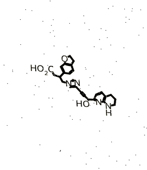 O=C(O)CC(Cn1cnc(C#CC(O)c2ccc3c(n2)NCCC3)c1)c1ccc2c(c1)OCC2